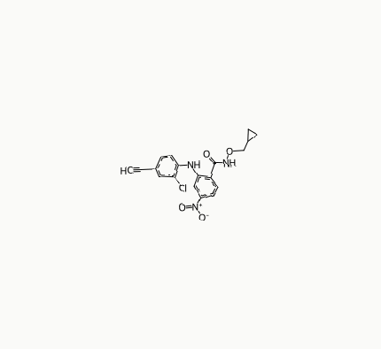 C#Cc1ccc(Nc2cc([N+](=O)[O-])ccc2C(=O)NOCC2CC2)c(Cl)c1